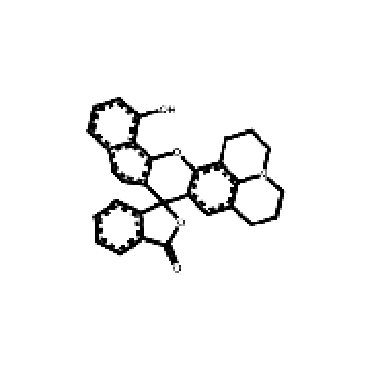 O=C1OC2(c3ccccc31)c1cc3c4c(c1Oc1c2ccc2cccc(O)c12)CCCN4CCC3